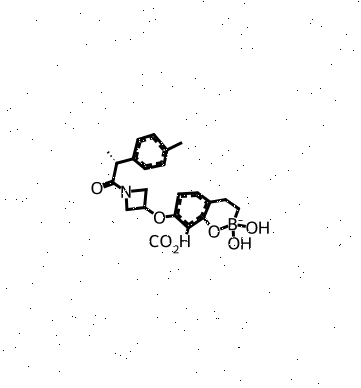 Cc1ccc([C@@H](C)C(=O)N2CC(Oc3ccc4c(c3C(=O)O)O[B-](O)(O)CC4)C2)cc1